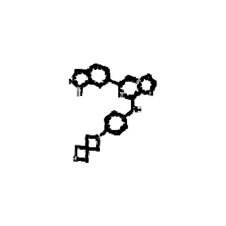 c1cn2cc(-c3ccc4cn[nH]c4c3)nc(Nc3ccc(N4CC5(COC5)C4)cc3)c2n1